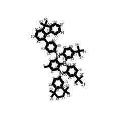 Cc1cc2c3c(c1)N(c1ccc4c(c1)C(C)(C)CCC4(C)C)c1cc(C(C)(C)C)ccc1B3c1cc(C(C)(C)C)ccc1N2c1ccc(-c2cccc3c2-c2ccccc2C3(C)C)cc1